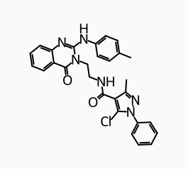 Cc1ccc(Nc2nc3ccccc3c(=O)n2CCNC(=O)c2c(C)nn(-c3ccccc3)c2Cl)cc1